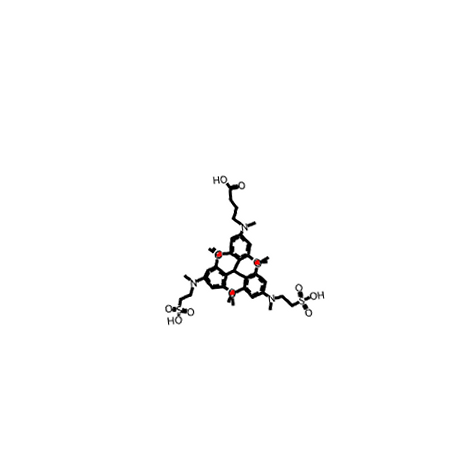 COc1cc(N(C)CCCC(=O)O)cc(OC)c1C(c1c(OC)cc(N(C)CCS(=O)(=O)O)cc1OC)c1c(OC)cc(N(C)CCS(=O)(=O)O)cc1OC